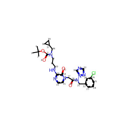 CC(C)(C)OC(=O)N(CCCNc1nccn(CC(=O)N(Cc2cccc(Cl)c2)n2cncn2)c1=O)CC1CC1